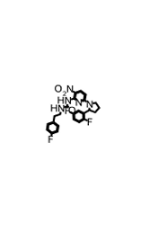 O=C(NCCc1ccc(F)cc1)Nc1nc(N2CCCC2c2cc(F)ccc2F)ccc1[N+](=O)[O-]